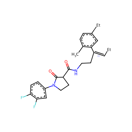 CC/C=C(/CCNC(=O)C1CCN(c2ccc(F)c(F)c2)C1=O)c1cc(CC)ccc1C